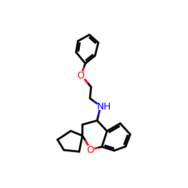 c1ccc(OCCNC2CC3(CCCC3)Oc3ccccc32)cc1